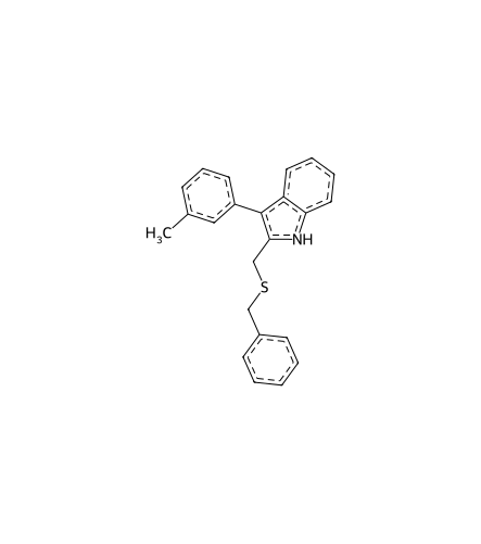 Cc1cccc(-c2c(CSCc3ccccc3)[nH]c3ccccc23)c1